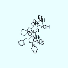 CCNC(=O)C(CC(O)C(CC1CCCCC1)NC(=O)[C@H](Cc1cscn1)NC(=O)C(CC(=O)N1CCOCC1)Cc1ccccc1)C(C)(C)O